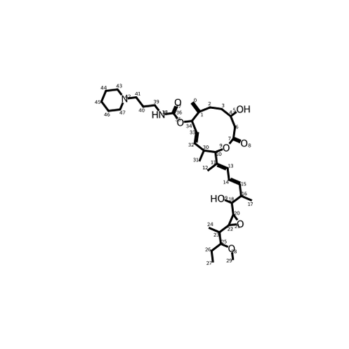 C=C1CCC(O)CC(=O)OC(/C(C)=C/C=C/C(C)C(O)C2OC2C(C)C(CC)OC)C(C)/C=C/C1OC(=O)NCCCN1CCCCC1